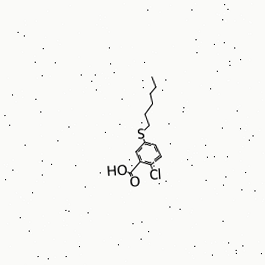 CCCCCCSc1ccc(Cl)c(C(=O)O)c1